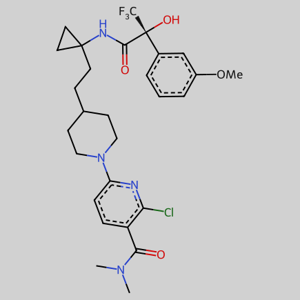 COc1cccc([C@@](O)(C(=O)NC2(CCC3CCN(c4ccc(C(=O)N(C)C)c(Cl)n4)CC3)CC2)C(F)(F)F)c1